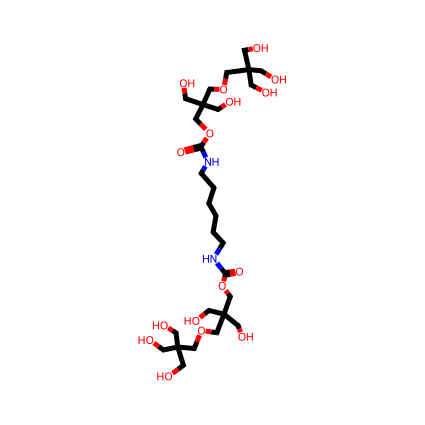 O=C(NCCCCCCNC(=O)OCC(CO)(CO)COCC(CO)(CO)CO)OCC(CO)(CO)COCC(CO)(CO)CO